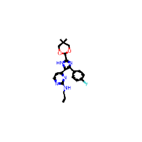 C=CCNc1nccc(-c2[nH]c(C3OCC(C)(C)CO3)nc2-c2ccc(F)cc2)n1